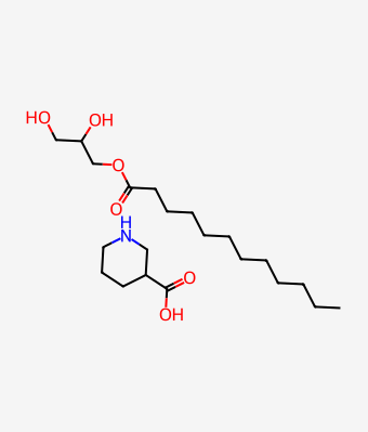 CCCCCCCCCCCC(=O)OCC(O)CO.O=C(O)C1CCCNC1